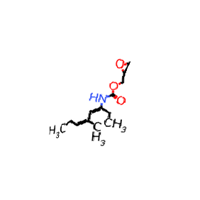 CC/C=C(C)\C=C(/CC)NC(=O)OCC1CO1